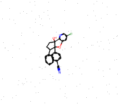 N#Cc1ccc(C23Oc4cc(Cl)cnc4C2(O)CCC3c2ccccc2)cc1